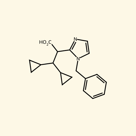 O=C(O)C(c1nccn1Cc1ccccc1)C(C1CC1)C1CC1